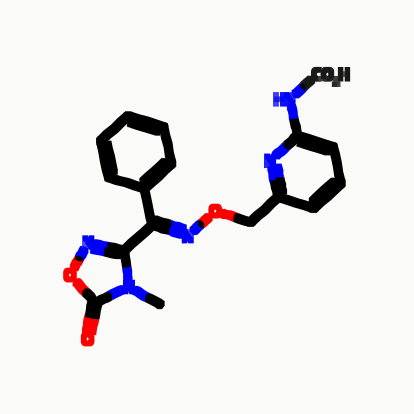 Cn1c(C(=NOCc2cccc(NC(=O)O)n2)c2ccccc2)noc1=O